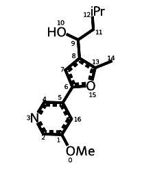 COc1cncc(-c2cc(C(O)CC(C)C)c(C)o2)c1